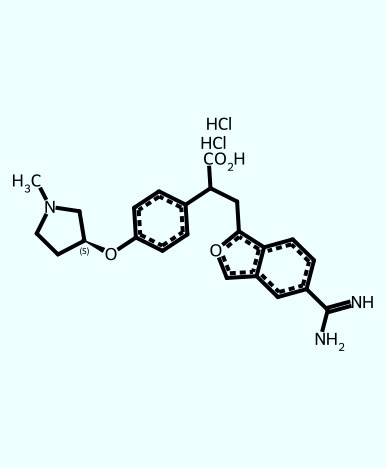 CN1CC[C@H](Oc2ccc(C(Cc3occ4cc(C(=N)N)ccc34)C(=O)O)cc2)C1.Cl.Cl